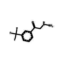 NNCC(=O)c1cccc(C(F)(F)F)c1